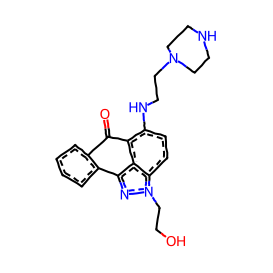 O=C1c2ccccc2-c2nn(CCO)c3ccc(NCCN4CCNCC4)c1c23